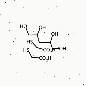 O=C(O)CS.O=C(O)CS.OCC(O)CC(O)CO